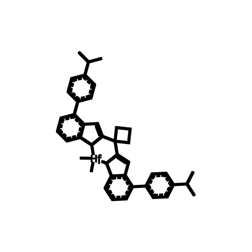 CC(C)c1ccc(-c2cccc3c2C=C2[CH]3[Hf]([CH3])([CH3])[CH]3C(=Cc4c(-c5ccc(C(C)C)cc5)cccc43)C23CCC3)cc1